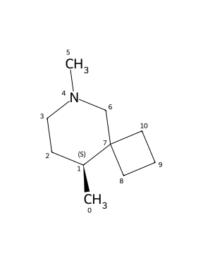 C[C@H]1CCN(C)CC12CCC2